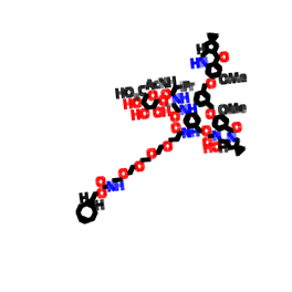 COc1cc2c(cc1OCc1cccc(COc3cc4c(cc3OC)C(=O)N3CC5(CC5)C[C@H]3[C@H](O)N4C(=O)OCc3ccc(NC(=O)[C@H](CO[C@@H]4O[C@H](C(=O)O)[C@@H](O)[C@H](O)[C@H]4O)NC(=O)[C@@H](NC(C)=O)C(C)C)cc3NC(=O)CCOCCOCCOCCOCCNC(=O)OCC3[C@H]4CCC#CCC[C@@H]34)c1)NC[C@@H]1CC3(CC3)CC1C2=O